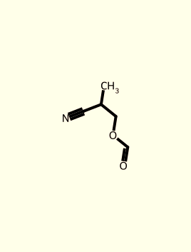 CC(C#N)COC=O